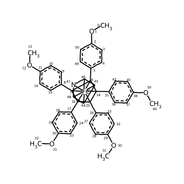 COc1ccc([C]23[C]4(c5ccc(OC)cc5)[C]5(c6ccc(OC)cc6)[C]6(c7ccc(OC)cc7)[C]2(c2ccc(OC)cc2)[Fe]34562789[CH]3[CH]2[CH]7[N]8[CH]39)cc1